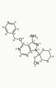 N#CCC1(n2nc(N)c3c(OCc4ccccc4)nccc32)CCCCC1